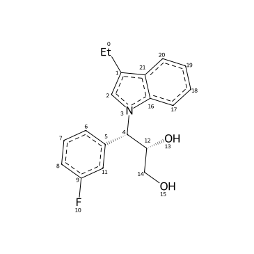 CCc1cn([C@@H](c2cccc(F)c2)[C@H](O)CO)c2ccccc12